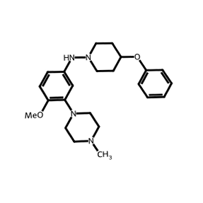 COc1ccc(NN2CCC(Oc3ccccc3)CC2)cc1N1CCN(C)CC1